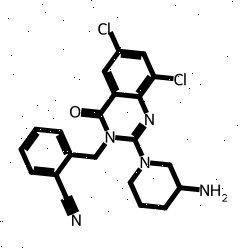 N#Cc1ccccc1Cn1c(N2CCCC(N)C2)nc2c(Cl)cc(Cl)cc2c1=O